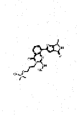 CC1NC(=O)c2cc(-c3cccc4c(=O)n(CCCO[Si](C)(C)C(C)(C)C)c(NC(C)(C)C)nc34)[nH]c21